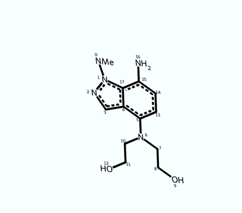 CNn1ncc2c(N(CCO)CCO)ccc(N)c21